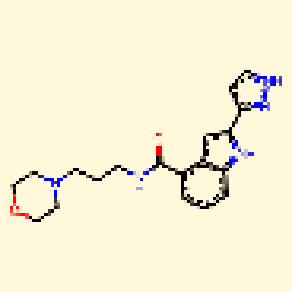 O=C(NCCCN1CCOCC1)c1cccc2[nH]c(-c3cc[nH]n3)cc12